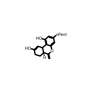 C=C1Oc2cc(CCCCC)cc(O)c2C2C=C(O)CC[C@@H]12